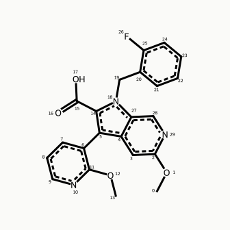 COc1cc2c(-c3cccnc3OC)c(C(=O)O)n(Cc3ccccc3F)c2cn1